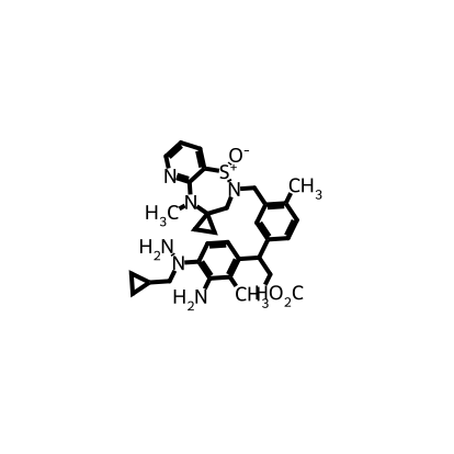 Cc1ccc(C(CC(=O)O)c2ccc(N(N)CC3CC3)c(N)c2C)cc1CN1CC2(CC2)N(C)c2ncccc2[S+]1[O-]